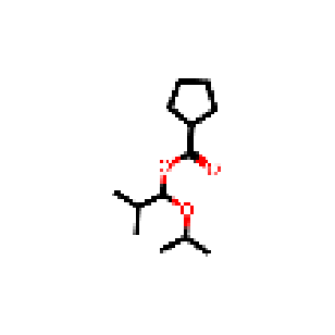 CC(C)OC(OC(=O)C1CCCC1)C(C)C